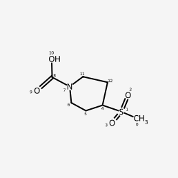 CS(=O)(=O)C1CCN(C(=O)O)CC1